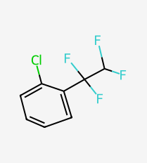 FC(F)C(F)(F)c1ccccc1Cl